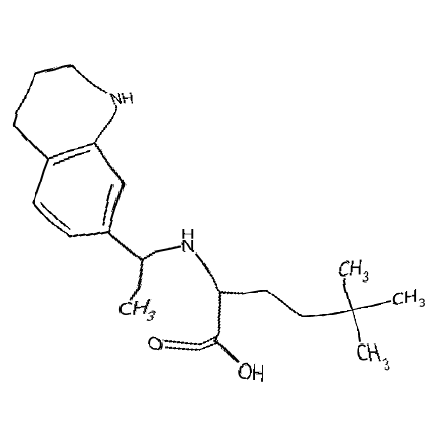 CC(NC(CCC(C)(C)C)C(=O)O)c1ccc2c(c1)NCCC2